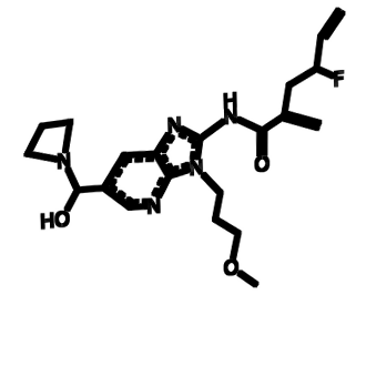 C=CC(F)CC(=C)C(=O)Nc1nc2cc(C(O)N3CCC3)cnc2n1CCCOC